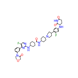 O=C1CCC(Nc2ccc(C3CCN([C@H]4CC[C@H](NC(=O)[C@H]5CC[C@H](Nc6ncc(F)c(-c7cccc(N8CCOCC8=O)c7)n6)CC5)CC4)CC3)c(F)c2)C(=O)N1